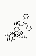 CCN(C)c1ccc(C(O)CN(Cc2ccccc2)Cc2ccccc2)cc1S(N)(=O)=O